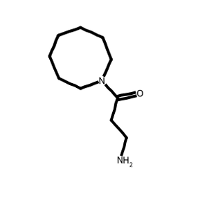 NCCC(=O)N1CCCCCCC1